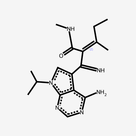 CC/C(C)=C(/C(=N)c1cn(C(C)C)c2ncnc(N)c12)C(=O)NC